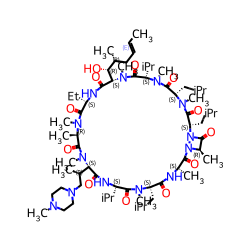 C/C=C/C[C@@H](C)[C@@H](O)[C@H]1C(=O)N[C@@H](CC)C(=O)N(C)[C@H](C)C(=O)N(C)[C@@H]([C@H](C)CN2CCN(C)CC2)C(=O)N[C@@H](C(C)C)C(=O)N(C)[C@@H](CC(C)C)C(=O)N[C@@H](C)C(=O)N2[C@H](C)C(=O)N2[C@@H](CC(C)C)C(=O)N(C)[C@@H](CC(C)C)C(=O)N(C)[C@@H](C(C)C)C(=O)N1C